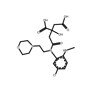 CNc1ccc(Cl)cc1N(CCN1CCOCC1)C(=O)CC(O)(CC(=O)O)C(=O)O